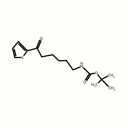 CC(C)(C)OC(=O)NCCCCCC(=O)c1cccs1